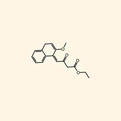 CCOC(=O)CC(=O)C=C1C(OC)=CCc2ccccc21